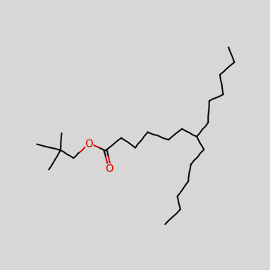 CCCCCCC(CCCCCC)CCCCCC(=O)OCC(C)(C)C